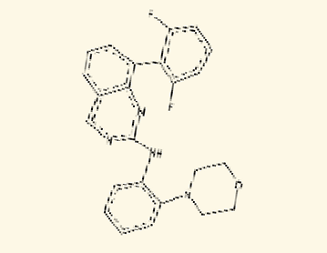 Fc1cccc(F)c1-c1cccc2cnc(Nc3ccccc3N3CCOCC3)nc12